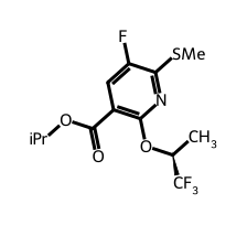 CSc1nc(O[C@@H](C)C(F)(F)F)c(C(=O)OC(C)C)cc1F